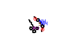 CCCCCCCC[PH](c1ccccc1)(c1ccccc1)c1ccccc1.CCOc1ccc(NC(=S)Nc2ccc(OCC)cc2)cc1